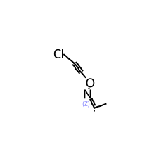 C/[C]=N\OC#CCl